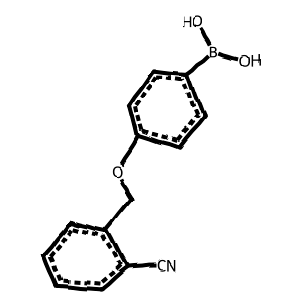 N#Cc1ccccc1COc1ccc(B(O)O)cc1